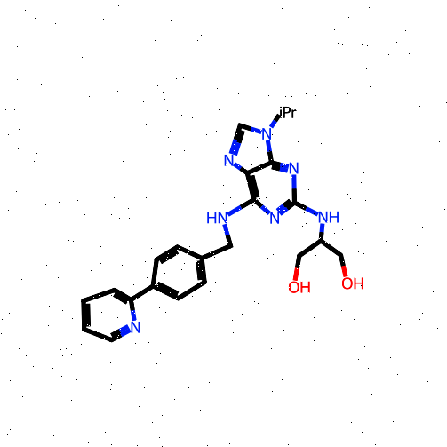 CC(C)n1cnc2c(NCc3ccc(-c4ccccn4)cc3)nc(NC(CO)CO)nc21